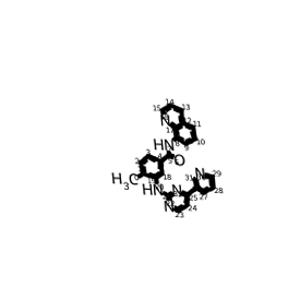 Cc1ccc(C(=O)Nc2cccc3cccnc23)cc1Nc1nccc(-c2cccnc2)n1